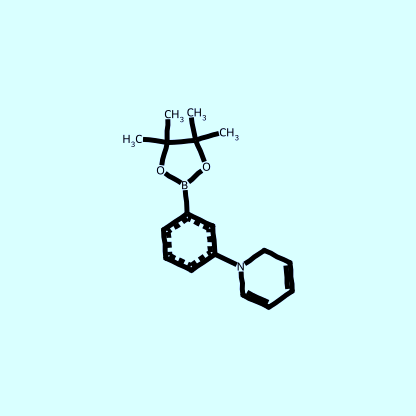 CC1(C)OB(c2cccc(N3C=CC=CC3)c2)OC1(C)C